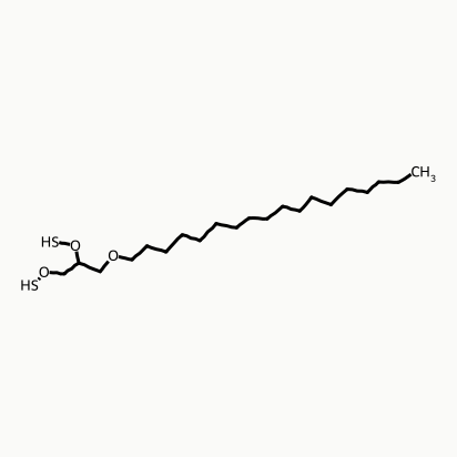 CCCCCCCCCCCCCCCCCCOCC(COS)OS